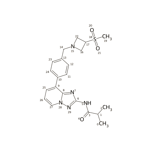 CC(C)C(=O)Nc1nc2c(-c3ccc(CN4CC(S(C)(=O)=O)C4)cc3)cccn2n1